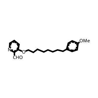 COc1ccc(CCCCCCCCOc2cccnc2C=O)cc1